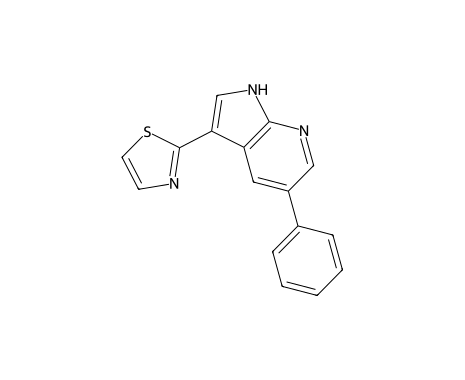 c1ccc(-c2cnc3[nH]cc(-c4nccs4)c3c2)cc1